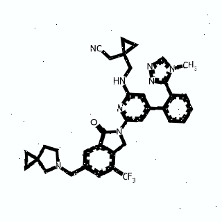 Cn1cnnc1-c1ccccc1-c1cc(NCC2(CC#N)CC2)nc(N2Cc3c(cc(CN4CCC5(CC5)C4)cc3C(F)(F)F)C2=O)c1